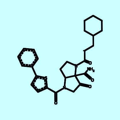 NC(=O)C12C(=O)CN(C(=O)c3ccc(-c4ccccc4)s3)C1CCN2C(=O)[CH]CC1CCCCC1